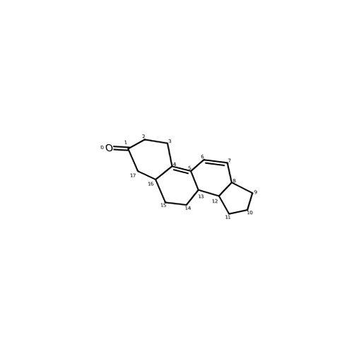 O=C1CCC2=C3C=CC4CCCC4C3CCC2C1